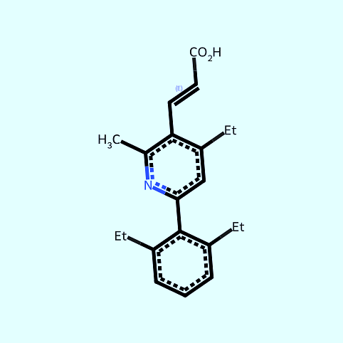 CCc1cc(-c2c(CC)cccc2CC)nc(C)c1/C=C/C(=O)O